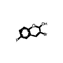 OC1Oc2ccc(F)cc2C=C1Br